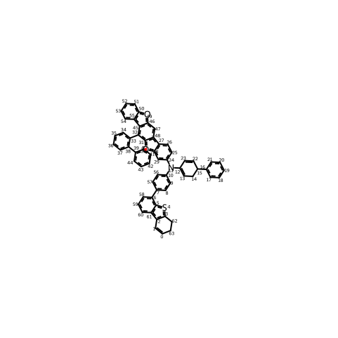 C1=Cc2c(sc3c(-c4ccc(N(C5=CCC(c6ccccc6)C=C5)c5ccc6c(c5)oc5c(-c7ccccc7-c7ccccc7)c7c(cc56)oc5ccccc57)cc4)cccc23)CC1